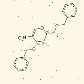 C[C@@H]1[C@H](OCc2ccccc2)C([N+](=O)[O-])=CO[C@@H]1COCc1ccccc1